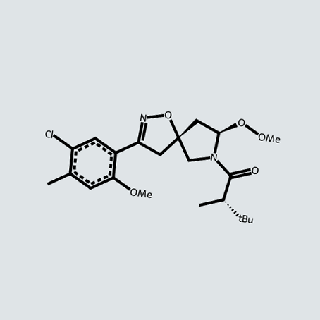 COO[C@@H]1C[C@]2(CC(c3cc(Cl)c(C)cc3OC)=NO2)CN1C(=O)[C@@H](C)C(C)(C)C